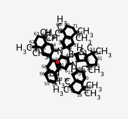 CC(C)(C)c1cc2c3c(c1)N(c1ccc4c(c1)C(C)(C)CCC4(C)C)c1c(sc4c1C(C)(C)CCC4(C)C)B3c1cc3c(cc1N2c1cc2c(cc1-c1ccc4ccccc4c1)C(C)(C)CCC2(C)C)C(C)(C)CCC3(C)C